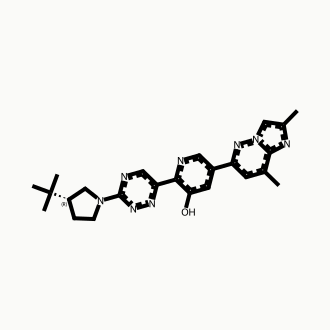 Cc1cn2nc(-c3cnc(-c4cnc(N5CC[C@H](C(C)(C)C)C5)nn4)c(O)c3)cc(C)c2n1